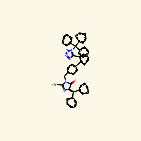 CCCC1=NC(=C(c2ccccc2)c2ccccc2)C(=O)N1Cc1ccc(-c2ccccc2-c2nnnn2C(c2ccccc2)(c2ccccc2)c2ccccc2)cc1